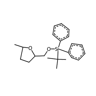 CC1CCC(CO[Si](c2ccccc2)(c2ccccc2)C(C)(C)C)O1